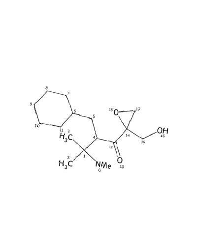 CNC(C)(C)C(CC1CCCCC1)C(=O)C1(CO)CO1